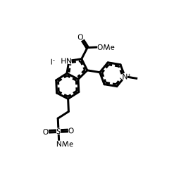 CNS(=O)(=O)CCc1ccc2[nH]c(C(=O)OC)c(-c3cc[n+](C)cc3)c2c1.[I-]